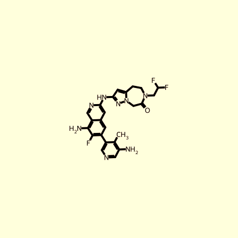 Cc1c(N)cncc1-c1cc2cc(Nc3cc4n(n3)CC(=O)N(CC(F)F)CC4)ncc2c(N)c1F